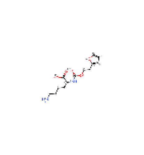 NCCCC[C@H](NC(=O)OCCc1ccco1)C(=O)O